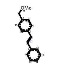 COCc1ccc(/C=C/c2ccccc2)cc1